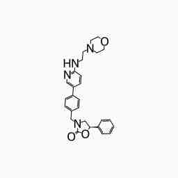 O=C1O[C@H](c2ccccc2)CN1Cc1ccc(-c2ccc(NCCN3CCOCC3)nc2)cc1